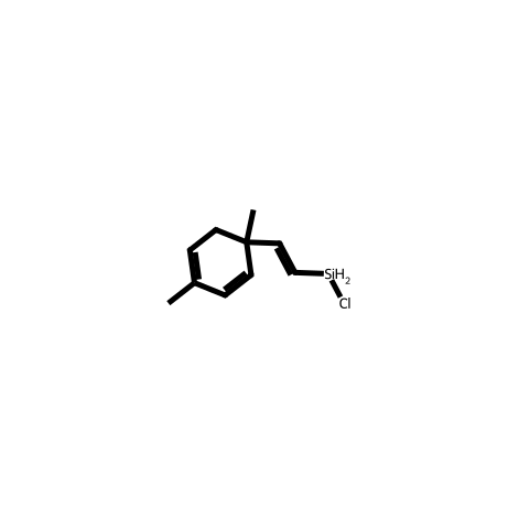 CC1=CCC(C)(C=C[SiH2]Cl)C=C1